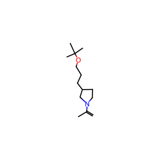 C=C(C)N1CCC(CCCOC(C)(C)C)C1